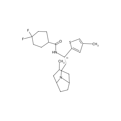 Cc1csc([C@H](CCN2C3CCC2CC(C)C3)NC(=O)C2CCC(F)(F)CC2)c1